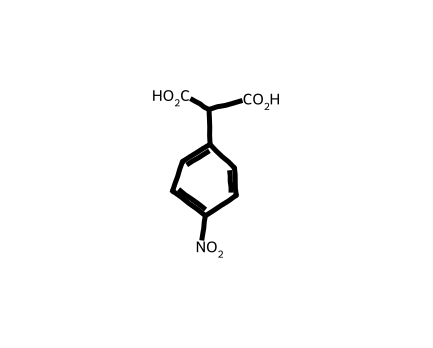 O=C(O)C(C(=O)O)c1ccc([N+](=O)[O-])cc1